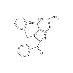 Nc1nc2nc(C(=O)c3ccccc3)n(Cc3ccccc3)c2c(=O)[nH]1